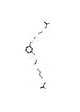 C=C(C)C(=O)OCCCCOC(=O)CNCc1cccc(CNC(=O)OCCOC(=O)C(=C)C)c1